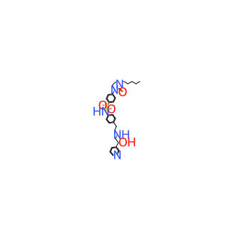 CCCCCN1CCN(c2ccc(S(=O)(=O)Nc3ccc(CCNCC(O)c4cccnc4)cc3)cc2)C1=O